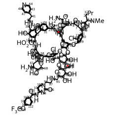 CN[C@H](CC(C)C)C(=O)NC1C(=O)N[C@@H](CC(N)=O)C(=O)N[C@H]2C(=O)N[C@@H](C)c3ccc(O)c(c3)-c3c(cc(O)c(CNCCc4ccncc4)c3O)[C@H](C(=O)O)NC(=O)[C@@H](NC=O)[C@H](OC3C[C@](C)(N)[C@@H](O)[C@H](C)O3)c3ccc(c(Cl)c3)Oc3cc2cc(c3O[C@@H]2O[C@H](CO)[C@@H](O[C@@H]3O[C@H](CNCCn4ccc(NC(=O)c5ccc(OC(F)(F)F)cc5)nc4=O)[C@H](O)[C@H](O)[C@H]3O)[C@H](O)[C@H]2O)Oc2ccc(cc2Cl)[C@H]1O